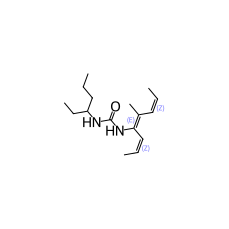 C\C=C/C(C)=C(\C=C/C)NC(=O)NC(CC)CCC